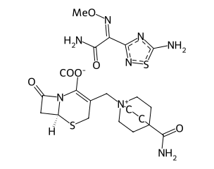 CO/N=C(\C(N)=O)c1nsc(N)n1.NC(=O)C12CC[N+](CC3=C(C(=O)[O-])N4C(=O)C[C@@H]4SC3)(CC1)CC2